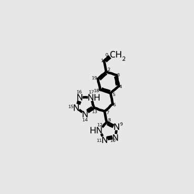 C=Cc1ccc(CC(c2nnn[nH]2)c2nnn[nH]2)cc1